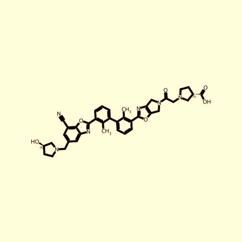 Cc1c(-c2nc3c(o2)CN(C(=O)CN2CC[C@H](C(=O)O)C2)C3)cccc1-c1cccc(-c2nc3cc(CN4CC[C@@H](O)C4)cc(C#N)c3o2)c1C